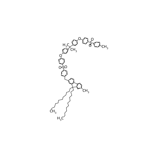 CCCCCCCCCCCCC1(CCCCCCCCCCCC)c2cc(C)ccc2-c2ccc(Cc3ccc(S(=O)(=O)c4ccc(Oc5ccc(C(C)(C)c6ccc(Oc7ccc(S(=O)(=O)c8ccc(C)cc8)cc7)cc6)cc5)cc4)cc3)cc21